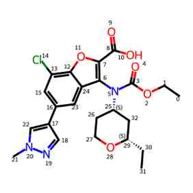 CCOC(=O)N(c1c(C(=O)O)oc2c(Cl)cc(-c3cnn(C)c3)cc12)[C@H]1CCO[C@@H](CC)C1